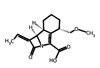 CC=C1C(=O)N2C(C(=O)O)=C3[C@@H](COC)CCC[C@@H]3[C@H]12